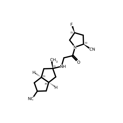 C[C@@]1(NCC(=O)N2C[C@@H](F)C[C@H]2C#N)C[C@H]2CC(C#N)C[C@H]2C1